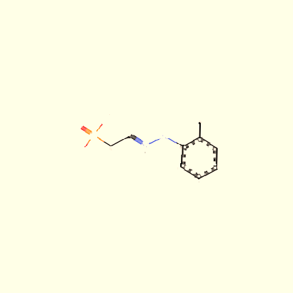 Cc1ccccc1N/N=C/CP(=O)(O)O